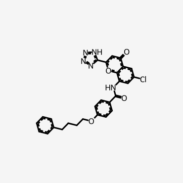 O=C(Nc1cc(Cl)cc2c(=O)cc(-c3nnn[nH]3)oc12)c1ccc(OCCCCc2ccccc2)cc1